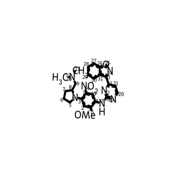 COc1cc(N2CCCC2CN(C)C)c([N+](=O)[O-])cc1Nc1nccc(-c2noc3ccccc23)n1